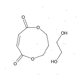 O=C1C=CC(=O)OCCCO1.OCCO